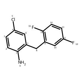 Nc1ccc(Cl)cc1Cc1cc(F)ccc1F